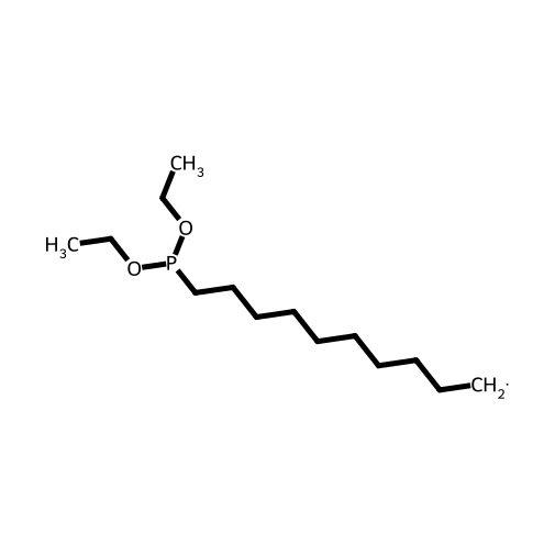 [CH2]CCCCCCCCCP(OCC)OCC